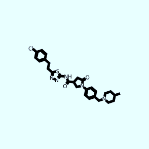 CC1CCN(Cc2ccc(N3CC(C(=O)Nc4nnc(CCc5ccc(Cl)cc5)s4)CC3=O)cc2)CC1